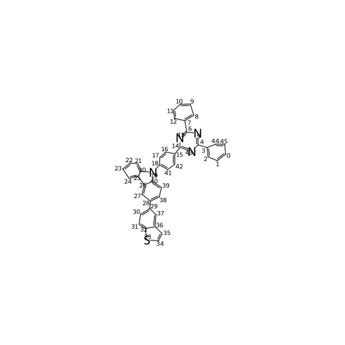 c1ccc(-c2nc(-c3ccccc3)nc(-c3ccc(-n4c5ccccc5c5cc(-c6ccc7sccc7c6)ccc54)cc3)n2)cc1